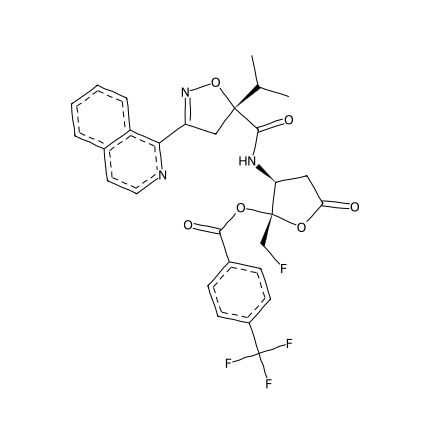 CC(C)[C@@]1(C(=O)N[C@H]2CC(=O)O[C@]2(CF)OC(=O)c2ccc(C(F)(F)F)cc2)CC(c2nccc3ccccc23)=NO1